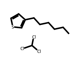 CCCCCCc1ccsc1.ClC(Cl)Cl